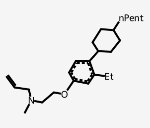 C=CCN(C)CCOc1ccc(C2CCC(CCCCC)CC2)c(CC)c1